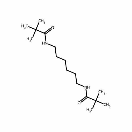 CC(C)(C)C(=O)NCCCCCCNC(=O)C(C)(C)C